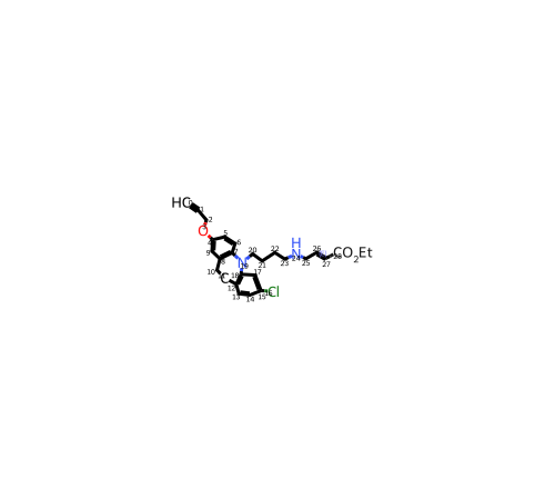 C#CCOc1ccc2c(c1)CCc1ccc(Cl)cc1N2CCCCNC/C=C/C(=O)OCC